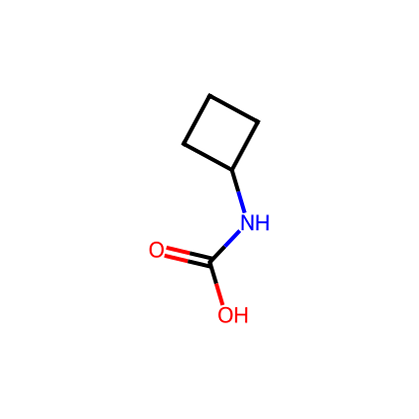 O=C(O)NC1CCC1